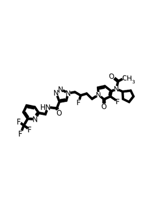 CC(=O)N(c1ccn(CCC(F)Cn2cc(C(=O)NCc3cccc(C(F)(F)F)n3)nn2)c(=O)c1F)C1CCCC1